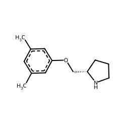 Cc1cc(C)cc(OC[C@@H]2CCCN2)c1